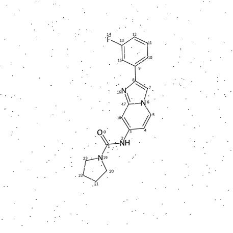 O=C(Nc1ccn2cc(-c3cccc(F)c3)nc2c1)N1CCCC1